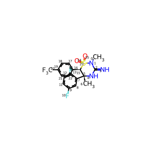 CN1C(=N)N[C@](C)(c2cc(F)ccc2F)[C@@H](c2ccc(C(F)(F)F)cc2)S1(=O)=O